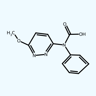 COc1ccc(N(C(=O)O)c2ccccc2)nn1